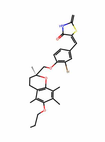 C=c1[nH]c(=O)/c(=C\c2ccc(OC[C@]3(C)CCc4c(C)c(OCCC)c(C)c(C)c4O3)c(Br)c2)s1